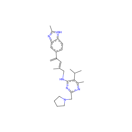 C=C(/C=C(\C)CNc1nc(CN2CCCC2)nc(C)c1C(C)C)c1ccc2[nH]c(C)nc2c1